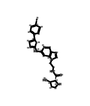 O=C(NCCn1cnc2cnc(Nc3ncc(-c4ccc(F)cc4)s3)cc21)[C@@H]1NCC[C@H]1O